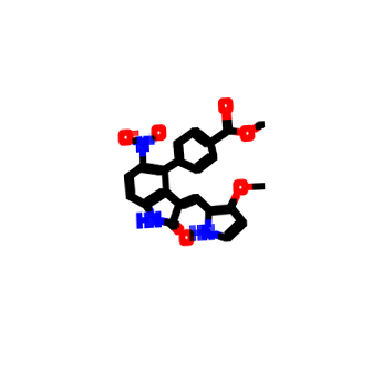 COC(=O)c1ccc(-c2c([N+](=O)[O-])ccc3c2/C(=C/c2[nH]ccc2OC)C(=O)N3)cc1